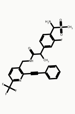 CC(C(=O)NCc1ccc(C(F)(F)F)nc1C#Cc1ccccc1)c1ccc(C(N)S(C)(=O)=O)c(F)c1